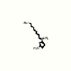 CCCCCCCCCCCCCCCCCCN(C)c1cccc(NC)n1